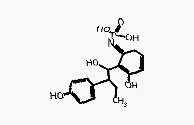 CCC(c1ccc(O)cc1)C(O)C1=C(O)C=CCC1=NP(=O)(O)O